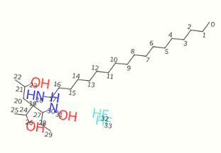 CCCCCCCCCCCCCCCCCCNC(CC(C)O)(C(C)O)C(CC)NO.F.F